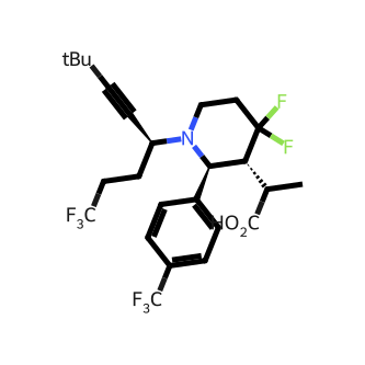 CC(C(=O)O)[C@@H]1[C@@H](c2ccc(C(F)(F)F)cc2)N([C@H](C#CC(C)(C)C)CCC(F)(F)F)CCC1(F)F